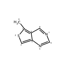 Cc1scc2ncncc12